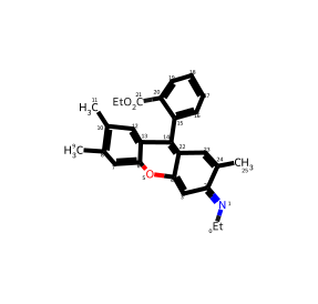 CC/N=c1\cc2oc3cc(C)c(C)cc3c(-c3ccccc3C(=O)OCC)c-2cc1C